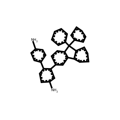 Nc1ccc(-c2ccc(N)cc2-c2ccc3c(c2)-c2ccccc2C3(c2ccccc2)c2ccccc2)cc1